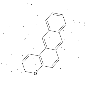 C1=Cc2c(ccc3cc4ccccc4cc23)OC1